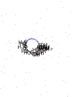 C[C@H]1C[C@H](O)[C@@H](C)/C=C/C=C/C=C/C=C/C=C/C=C/C=C/C(O[C@@H]2OC[C@@H](O)[C@H](N)[C@@H]2O)C[C@@H]2OC(O)(CC(O)CC(O)C(O)CCC(O)CC(O)CC(=O)O1)C[C@H](O)[C@H]2C(=O)NCCn1ncnn1